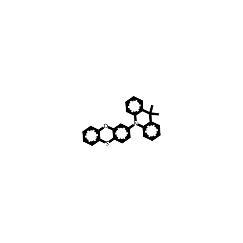 CC1(C)c2ccccc2N(c2ccc3c(c2)Oc2ccccc2S3)c2ccccc21